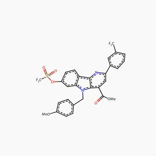 COC(=O)c1cc(-c2cccc(C(F)(F)F)c2)nc2c3ccc(OS(=O)(=O)C(F)(F)F)cc3n(Cc3ccc(OC)cc3)c12